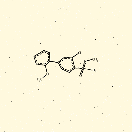 CN=S(C)(=O)c1ccc(-c2ccccc2OC(F)(F)F)cc1Cl